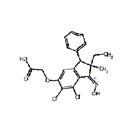 CCC1(C)/C(=N/O)c2c(cc(OCC(=O)O)c(Cl)c2Cl)C1c1ccccc1